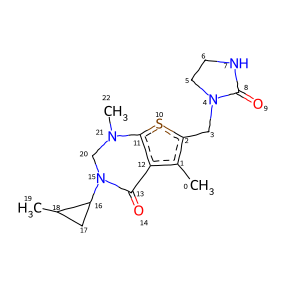 Cc1c(CN2CCNC2=O)sc2c1C(=O)N(C1CC1C)CN2C